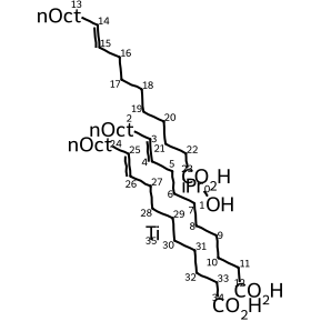 CC(C)O.CCCCCCCCC=CCCCCCCCC(=O)O.CCCCCCCCC=CCCCCCCCC(=O)O.CCCCCCCCC=CCCCCCCCC(=O)O.[Ti]